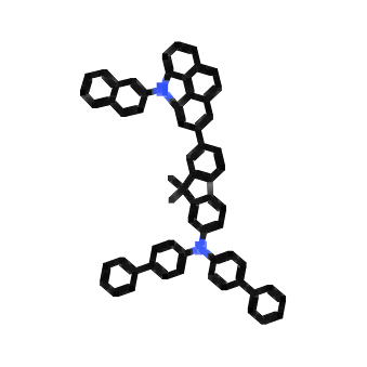 CC1(C)c2cc(-c3cc4ccc5cccc6c5c4c(c3)n6-c3ccc4ccccc4c3)ccc2-c2ccc(N(c3ccc(-c4ccccc4)cc3)c3ccc(-c4ccccc4)cc3)cc21